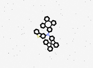 c1ccc2c(c1)-c1ccccc1-c1ccc(N(c3ccc4c(c3)C3(c5ccccc5-c5ccccc53)c3ccccc3-4)c3ccc4sc5ccccc5c4c3)cc1-c1ccccc1-2